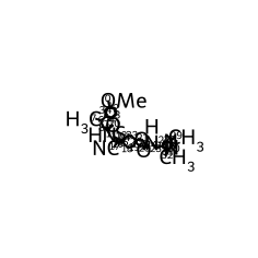 COc1cccc(C(C)CC(=O)Nc2sc3c(c2C#N)CCC(OC(=O)NCc2cn(C)nc2C)C3)c1